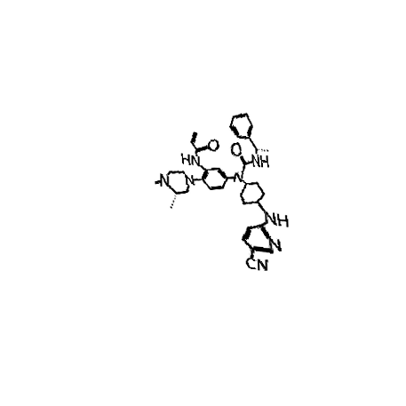 C=CC(=O)Nc1cc(N(C(=O)N[C@@H](C)c2ccccc2)C2CCC(Nc3ccc(C#N)cn3)CC2)ccc1N1CCN(C)[C@@H](C)C1